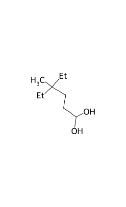 CCC(C)(CC)CCC(O)O